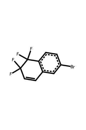 FC1(F)C=Cc2cc(Br)ccc2C1(F)F